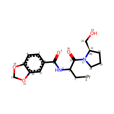 CC(C)CC(NC(=O)c1ccc2c(c1)OCO2)C(=O)N1CCC[C@@H]1CO